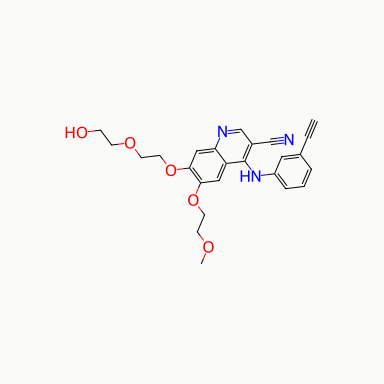 C#Cc1cccc(Nc2c(C#N)cnc3cc(OCCOCCO)c(OCCOC)cc23)c1